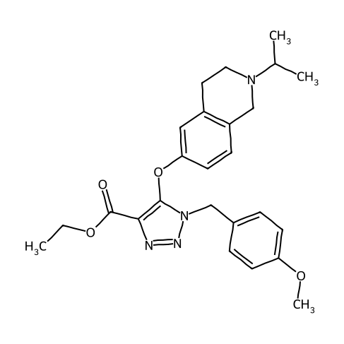 CCOC(=O)c1nnn(Cc2ccc(OC)cc2)c1Oc1ccc2c(c1)CCN(C(C)C)C2